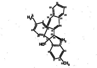 Cc1ccc(C(O)(c2ccc(C)cc2)[C@H](N)c2ccc3ccccc3c2)cc1